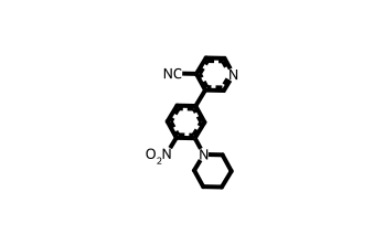 N#Cc1ccncc1-c1ccc([N+](=O)[O-])c(N2CCCCC2)c1